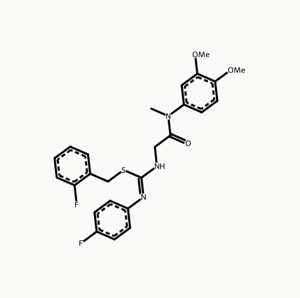 COc1ccc(N(C)C(=O)CNC(=Nc2ccc(F)cc2)SCc2ccccc2F)cc1OC